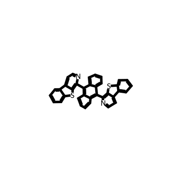 c1ccc2c(c1)sc1c(-c3c4ccccc4c(-c4nccc5c4sc4ccccc45)c4ccccc34)nccc12